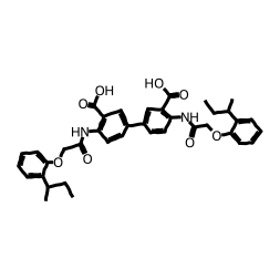 CCC(C)c1ccccc1OCC(=O)Nc1ccc(-c2ccc(NC(=O)COc3ccccc3C(C)CC)c(C(=O)O)c2)cc1C(=O)O